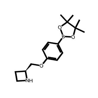 CC1(C)OB(c2ccc(OC[C@@H]3CCN3)cc2)OC1(C)C